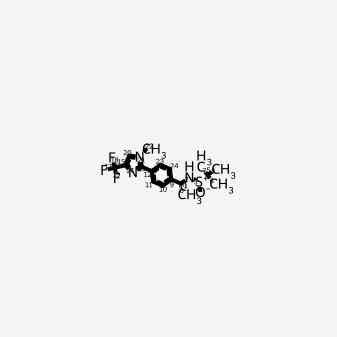 C[C@@H](N[S+]([O-])C(C)(C)C)c1ccc(-c2nc(C(F)(F)F)cn2C)cc1